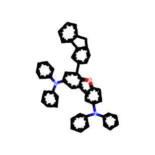 c1ccc(N(c2ccccc2)c2ccc3oc4c(-c5ccc6c(c5)-c5ccccc5C6)cc(N(c5ccccc5)c5ccccc5)cc4c3c2)cc1